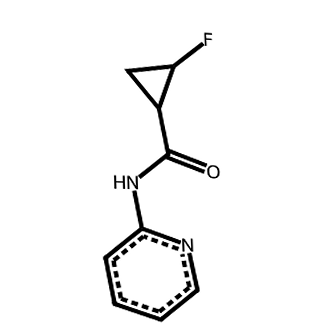 O=C(Nc1ccccn1)C1CC1F